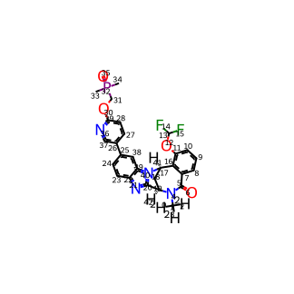 [2H]C([2H])([2H])N1C(=O)c2cccc(OC(F)F)c2[C@H]2C[C@@H]1c1nc3ccc(-c4ccc(OCP(C)(C)=O)nc4)cc3n12